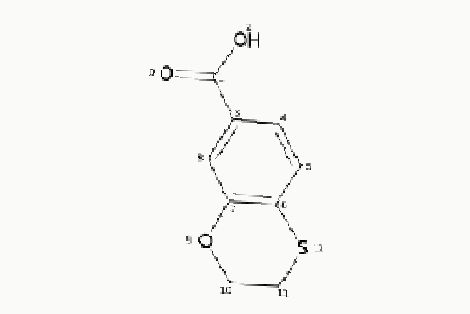 O=C(O)c1ccc2c(c1)OCCS2